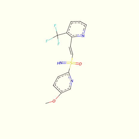 COc1ccc(S(=N)(=O)/C=C/c2ncccc2C(F)(F)F)nc1